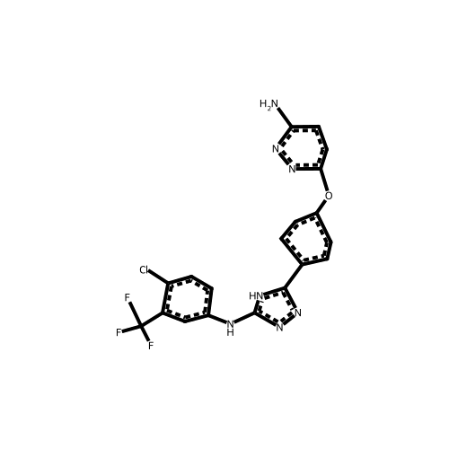 Nc1ccc(Oc2ccc(-c3nnc(Nc4ccc(Cl)c(C(F)(F)F)c4)[nH]3)cc2)nn1